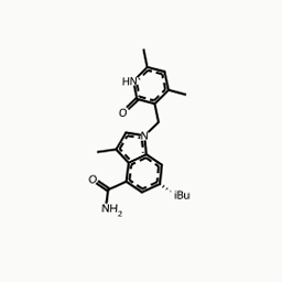 CC[C@@H](C)c1cc(C(N)=O)c2c(C)cn(Cc3c(C)cc(C)[nH]c3=O)c2c1